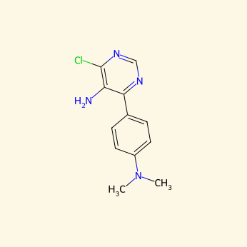 CN(C)c1ccc(-c2ncnc(Cl)c2N)cc1